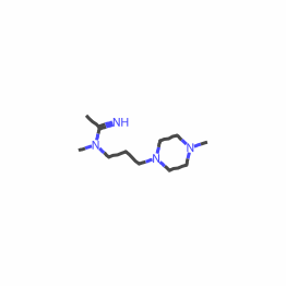 CC(=N)N(C)CCCN1CCN(C)CC1